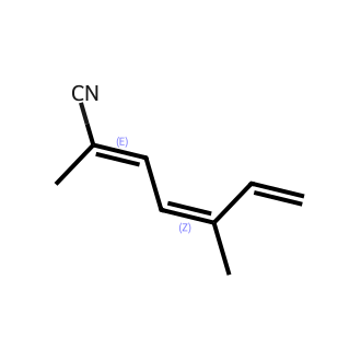 C=C/C(C)=C\C=C(/C)C#N